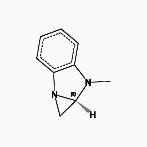 CN1c2ccccc2N2C[C@H]12